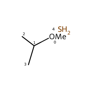 COC(C)C.S